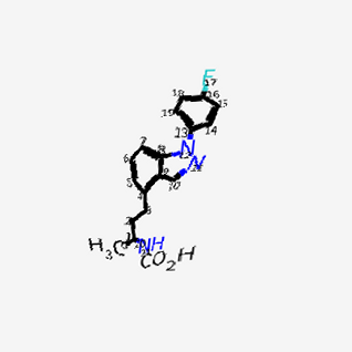 CC(CCc1cccc2c1cnn2-c1ccc(F)cc1)NC(=O)O